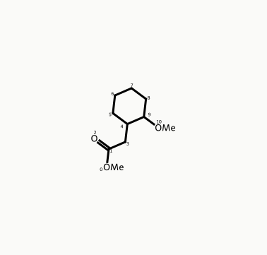 COC(=O)CC1CCCCC1OC